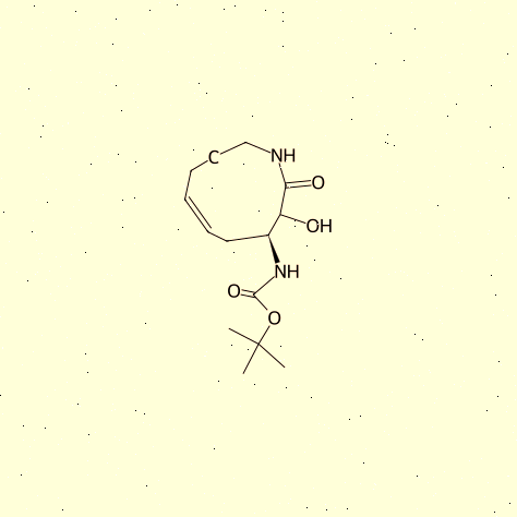 CC(C)(C)OC(=O)N[C@H]1C/C=C\CCCNC(=O)C1O